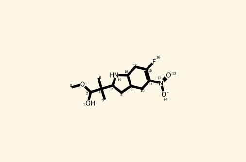 COC(O)C(C)(C)C1CC2CC([N+](=O)[O-])=C(F)CC2N1